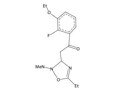 CCOc1cccc(C(=O)CC2N=C(CC)ON2NC)c1F